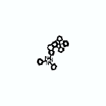 c1ccc(-c2nc(-c3ccccc3)nc(-c3ccc4c(c3)CCc3ccc5c(c3-4)-c3ccccc3C5(c3ccccc3)c3ccccc3)n2)cc1